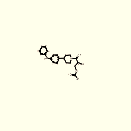 CCC(=O)NCC(CC)C(=O)N1CCC(c2ccc(Oc3ccccc3)cc2)CC1